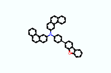 c1ccc2c(c1)ccc1ccc(N(c3ccc(-c4ccc5c(c4)oc4ccccc45)cc3)c3ccc4ccc5ccccc5c4c3)cc12